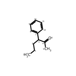 [CH2]CCC(C(C)=O)c1ccccc1